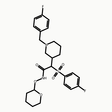 O=C(NOC1CCCCO1)C(C1CCCN(Cc2ccc(F)cc2)C1)S(=O)(=O)c1ccc(F)cc1